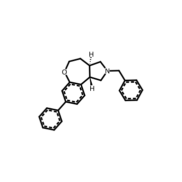 c1ccc(CN2C[C@@H]3CCOc4cc(-c5ccccc5)ccc4[C@H]3C2)cc1